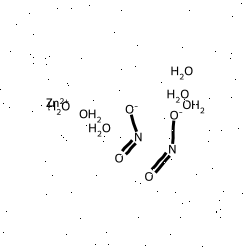 O.O.O.O.O.O.O=N[O-].O=N[O-].[Zn+2]